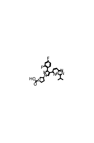 CC(C)c1nnc2ccc(-c3cn(C4CCN(C(=O)O)C4)nc3-c3ccc(F)cc3F)nn12